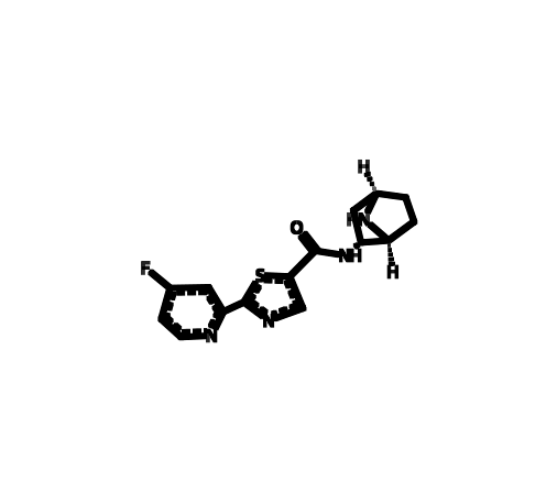 O=C(N[C@@H]1C[C@H]2CC[C@@H]1N2)c1cnc(-c2cc(F)ccn2)s1